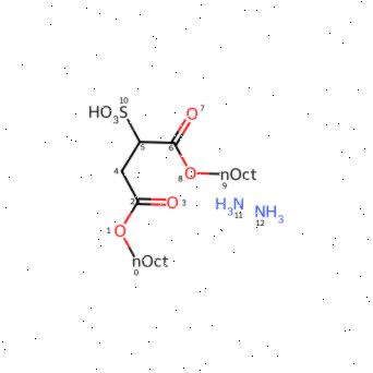 CCCCCCCCOC(=O)CC(C(=O)OCCCCCCCC)S(=O)(=O)O.N.N